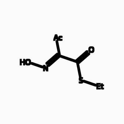 CCSC(=O)C(=NO)C(C)=O